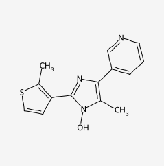 Cc1sccc1-c1nc(-c2cccnc2)c(C)n1O